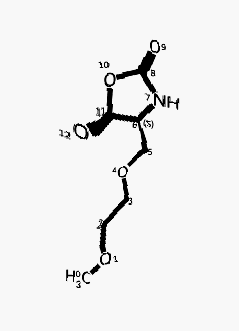 COCCOC[C@@H]1NC(=O)OC1=O